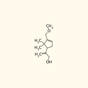 C=C(CO)C1CC=C(COC)C1(C)C